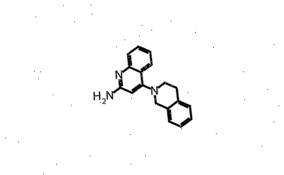 Nc1cc(N2CCc3ccccc3C2)c2ccccc2n1